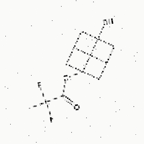 CC(F)(F)C(=O)OC12CC3CC4(O)CC(C1)C342